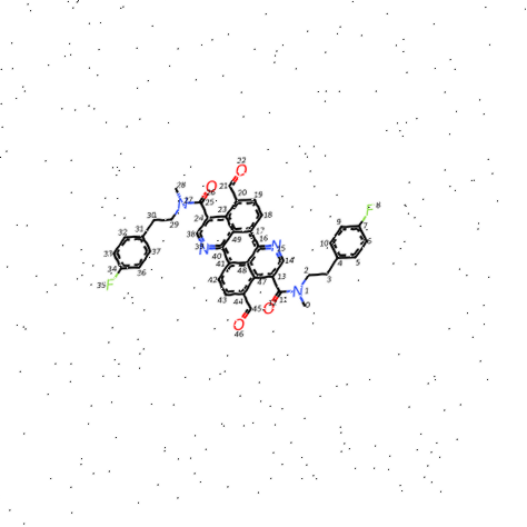 CN(CCc1ccc(F)cc1)C(=O)c1cnc2c3ccc(C=O)c4c(C(=O)N(C)CCc5ccc(F)cc5)cnc(c5ccc(C=O)c1c52)c43